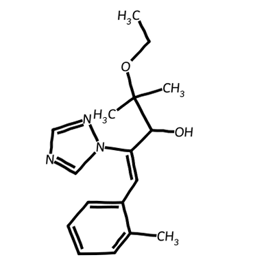 CCOC(C)(C)C(O)C(=Cc1ccccc1C)n1cncn1